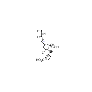 CC(=O)O.O=C(/C=C/c1cnc(N[C@@H]2CCN(C(=O)O)C2)c(Cl)c1)NO